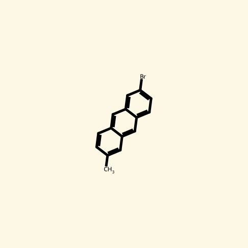 Cc1ccc2cc3cc(Br)ccc3cc2c1